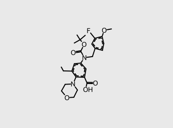 CCc1cc(N(Cc2ccc(OC)c(F)c2)C(=O)OC(C)(C)C)cc(C(=O)O)c1N1CCOCC1